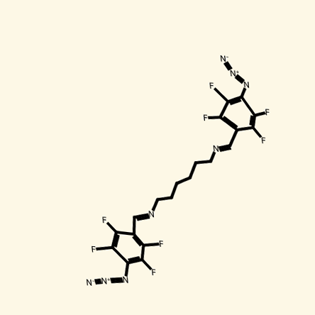 [N-]=[N+]=Nc1c(F)c(F)c(C=NCCCCCCN=Cc2c(F)c(F)c(N=[N+]=[N-])c(F)c2F)c(F)c1F